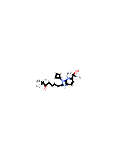 CC(C)(C)C(=O)CCCCc1nc2ccc(C(C)(C)O)nc2n1C1CCC1